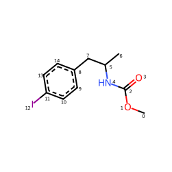 COC(=O)NC(C)Cc1ccc(I)cc1